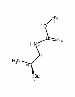 CCC(C)[C@@H](N)CNC(=O)OC(C)(C)C